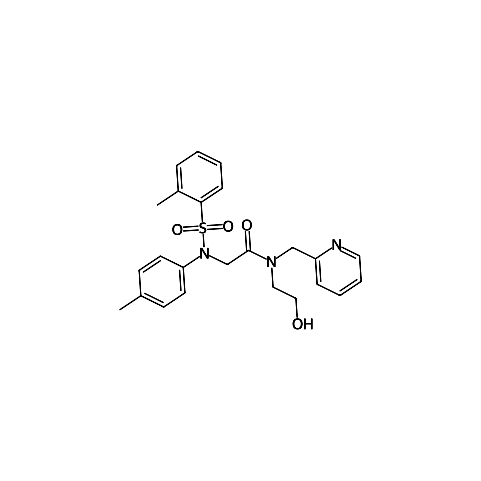 Cc1ccc(N(CC(=O)N(CCO)Cc2ccccn2)S(=O)(=O)c2ccccc2C)cc1